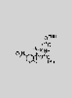 Cc1ccc([N+](=O)[O-])cc1NC(=O)[C@@H](CC(=O)OC(C)(C)C)NC(=O)OC(C)(C)C